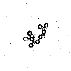 Clc1cc(N(c2ccccc2)c2cccc(-c3ccc4c(c3)sc3ccc(N(c5ccccc5)c5ccccc5)cc34)c2)cc2sc3ccccc3c12